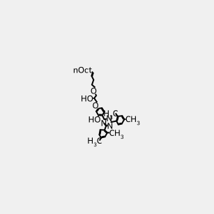 CCCCCCCC/C=C/CCCOCC(O)COc1ccc(-c2nc(-c3ccc(C)cc3C)nc(-c3ccc(C)cc3C)n2)c(O)c1